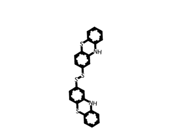 c1ccc2c(c1)Nc1cc(SSc3ccc4c(c3)Nc3ccccc3S4)ccc1S2